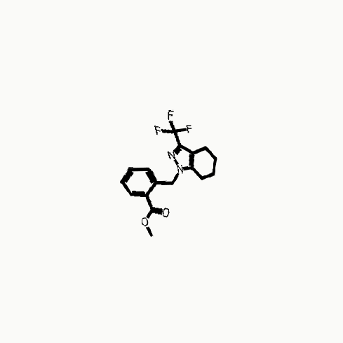 COC(=O)c1ccccc1Cn1nc(C(F)(F)F)c2c1CCCC2